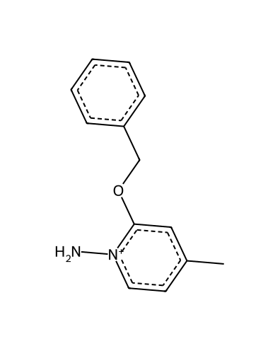 Cc1cc[n+](N)c(OCc2ccccc2)c1